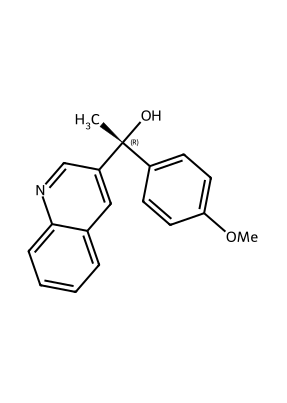 COc1ccc([C@@](C)(O)c2cnc3ccccc3c2)cc1